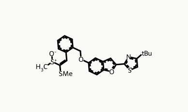 CSC(=Cc1ccccc1COc1ccc2oc(-c3nc(C(C)(C)C)cs3)cc2c1)[S+](C)[O-]